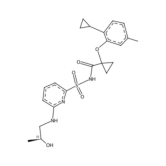 Cc1ccc(C2CC2)c(OC2(C(=O)NS(=O)(=O)c3cccc(NC[C@H](C)O)n3)CC2)c1